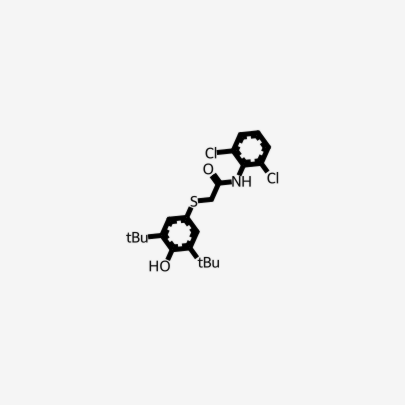 CC(C)(C)c1cc(SCC(=O)Nc2c(Cl)cccc2Cl)cc(C(C)(C)C)c1O